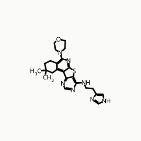 CC1(C)CCc2c(N3CCOCC3)nc3sc4c(NCCc5c[nH]cn5)ncnc4c3c2C1